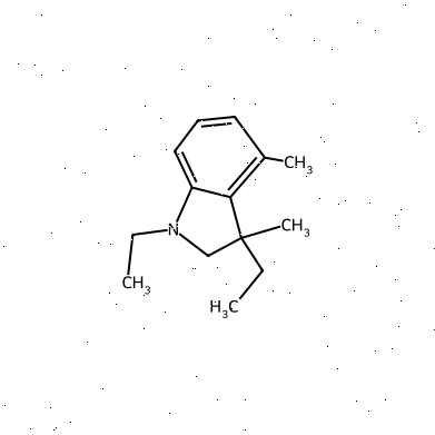 CCN1CC(C)(CC)c2c(C)cccc21